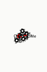 COC(=O)C(C)Oc1c(Cl)ccc(P(=O)(c2ccccc2)c2ccccc2)c1-c1c(P(=O)(c2ccccc2)c2ccccc2)ccc(Cl)c1O